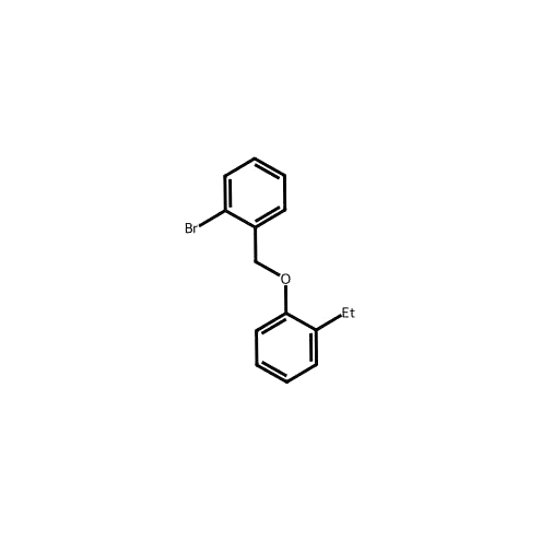 CCc1ccccc1OCc1ccccc1Br